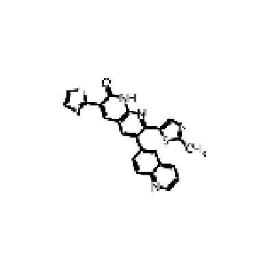 Cc1ncc(-c2nc3[nH]c(=O)c(-c4nccs4)cc3cc2-c2ccc3ncccc3c2)s1